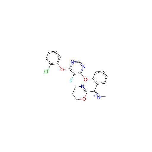 C/N=C(/C1=NCCCO1)c1ccccc1Oc1ncnc(Oc2ccccc2Cl)c1F